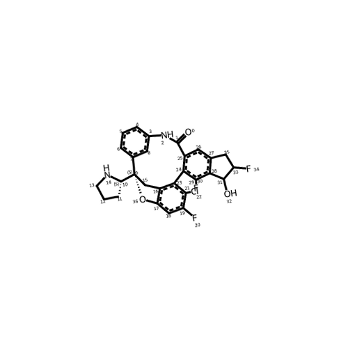 O=C1Nc2cccc(c2)[C@]2([C@@H]3CCCN3)Cc3c(cc(F)c(Cl)c3-c3c1cc1c(c3F)C(O)C(F)C1)O2